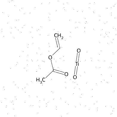 C=COC(C)=O.[O]=[Ti]=[O]